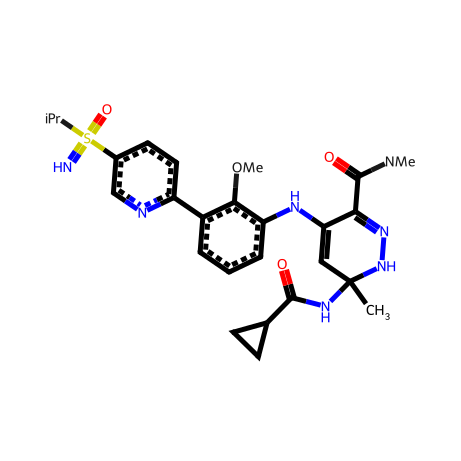 CNC(=O)C1=NNC(C)(NC(=O)C2CC2)C=C1Nc1cccc(-c2ccc(S(=N)(=O)C(C)C)cn2)c1OC